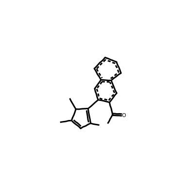 CC(=O)c1cc2ccccc2cc1C1=C(C)C=C(C)C1C